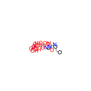 O=c1ccn(C2OC(COP(=O)(O)OP(=O)(O)O)C(O)C2O)c(=O)n1Cc1cc(Cc2ccccc2)ccn1